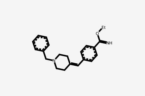 CCOC(=N)c1ccc(C=C2CCN(Cc3ccccc3)CC2)cc1